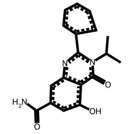 CC(C)n1c(-c2ccccc2)nc2cc(C(N)=O)cc(O)c2c1=O